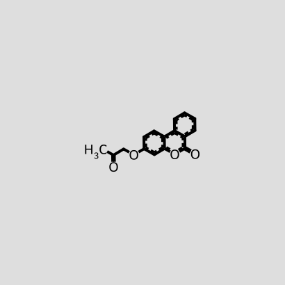 CC(=O)COc1ccc2c(c1)oc(=O)c1ccccc12